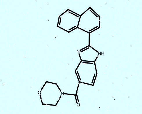 O=C(c1ccc2[nH]c(-c3cccc4ccccc34)nc2c1)N1CCOCC1